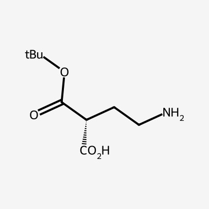 CC(C)(C)OC(=O)[C@H](CCN)C(=O)O